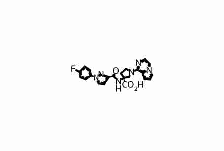 O=C(N[C@@]1(C(=O)O)CCN(c2nccn3cccc23)C1)c1ccn(-c2ccc(F)cc2)n1